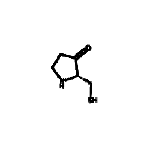 O=C1CCN[C@H]1CS